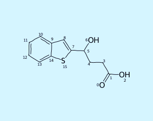 O=C(O)CCC(O)c1cc2ccccc2s1